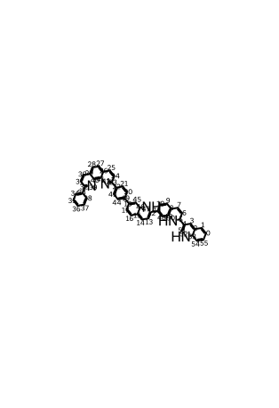 C1=CC2=CC(C3C=Cc4ccc(C5=CC=C6C=CC(c7ccc(-c8ccc9ccc%10ccc(-c%11ccccc%11)nc%10c9n8)cc7)=CC6N5)cc4N3)=CNC2C=C1